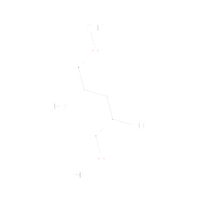 CC(COC=O)CC(C)COC=O